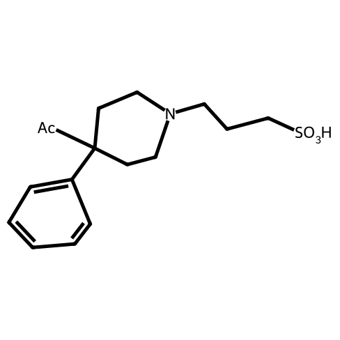 CC(=O)C1(c2ccccc2)CCN(CCCS(=O)(=O)O)CC1